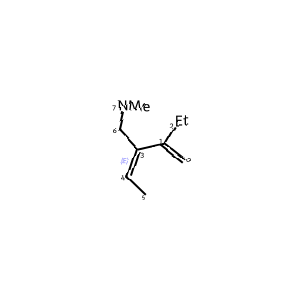 C=C(CC)/C(=C\C)CNC